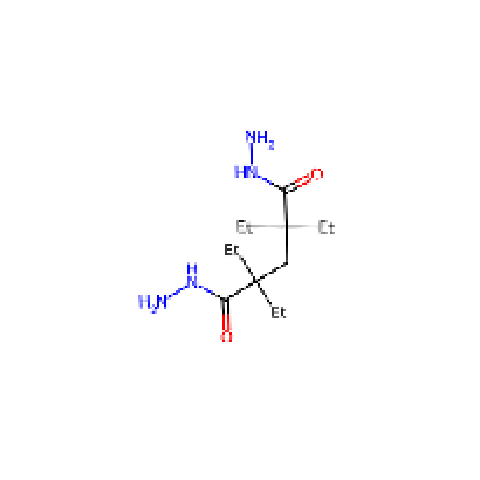 CCC(CC)(CC(CC)(CC)C(=O)NN)C(=O)NN